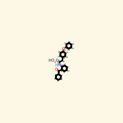 O=C(c1ccccc1)c1ccccc1N[C@@H](Cc1ccc(Oc2ccccc2)cc1)C(=O)O